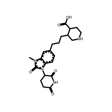 Cn1c(=O)n(C2CCC(=O)NC2=O)c2ccc(CCCC3CNCCC3C(=O)O)cc21